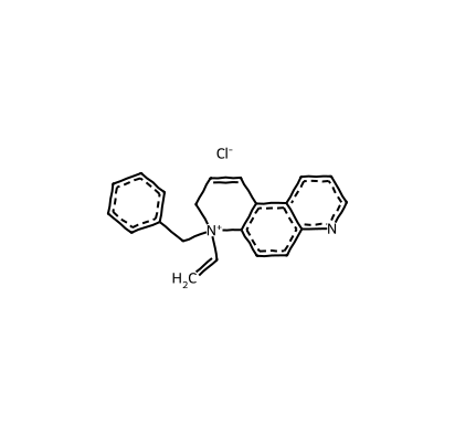 C=C[N+]1(Cc2ccccc2)CC=Cc2c1ccc1ncccc21.[Cl-]